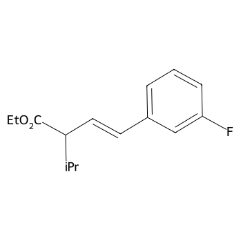 CCOC(=O)C(/C=C/c1cccc(F)c1)C(C)C